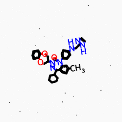 Cc1ccc2c(c1)N(c1ccc(NCc3ncc[nH]3)cc1)C(=O)N(C1COc3ccccc3OC1)N=C2C1CCCCC1